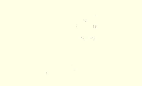 CCn1c(=O)c2c(ncn2Cc2ccc(C(=O)c3ccc(Cl)cc3)cc2)n(C)c1=O